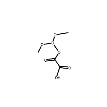 COB(OC)OC(=O)C(=O)O